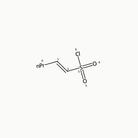 CCCC=CS(=O)(=O)Cl